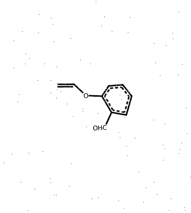 C=COc1ccccc1C=O